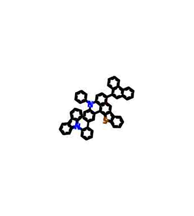 c1ccc(N(c2ccc(-c3cc4ccccc4c4ccccc34)cc2)c2ccc(-c3ccccc3-n3c4ccccc4c4ccccc43)cc2-c2cccc3c2sc2ccccc23)cc1